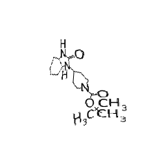 CC(C)(C)OC(=O)N1CCC(N2C(=O)NC3CCCC[C@@H]32)CC1